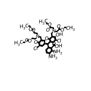 CCOOCCN(CCOOCC)Cc1c2oc3c(CN(CC(=O)OCC)CC(=O)OCC)c(O)c(Cl)cc3c(-c3ccc(N)c(N)c3C(=O)O)c-2cc(Cl)c1=O